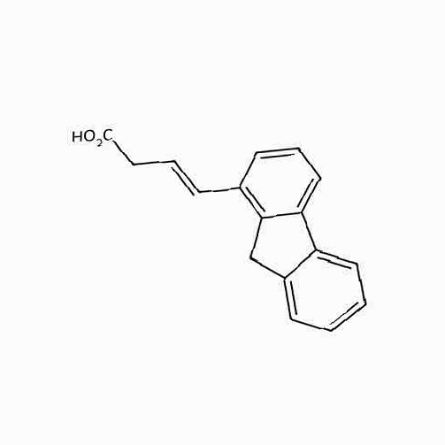 O=C(O)CC=Cc1cccc2c1Cc1ccccc1-2